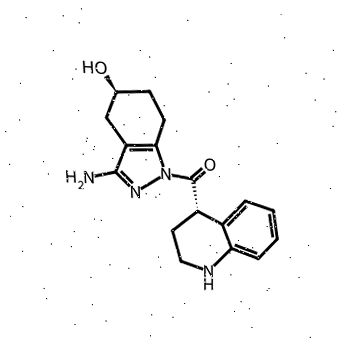 Nc1nn(C(=O)[C@H]2CCNc3ccccc32)c2c1C[C@@H](O)CC2